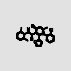 Cc1cccc(C)c1NC(=O)c1c(-c2ccco2)n(-c2ccccc2Cl)c(C)cc1=O